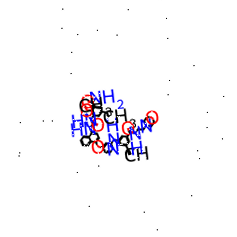 C#Cc1cc(Nc2cc(Oc3ccc(NC(=O)Nc4cc(CC)cc(C(N)=O)c4OC)c4ccccc34)ccn2)cc(C(=O)NCCN2CCOCC2)c1